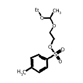 CCOC(C)OCCOS(=O)(=O)c1ccc(C)cc1